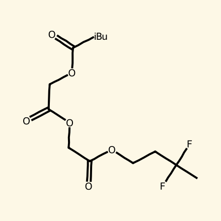 CCC(C)C(=O)OCC(=O)OCC(=O)OCCC(C)(F)F